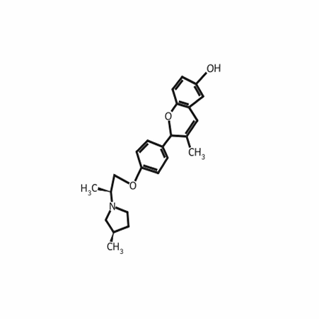 CC1=Cc2cc(O)ccc2OC1c1ccc(OC[C@H](C)N2CC[C@@H](C)C2)cc1